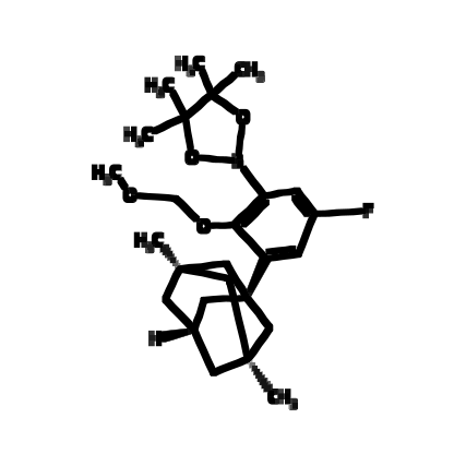 COCOc1c(B2OC(C)(C)C(C)(C)O2)cc(F)cc1[C@@]12C[C@@H]3C[C@@](C)(C[C@@](C)(C3)C1)C2